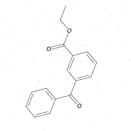 CCOC(=O)c1cccc(C(=O)c2ccccc2)c1